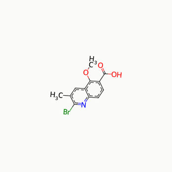 COc1c(C(=O)O)ccc2nc(Br)c(C)cc12